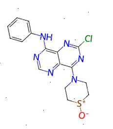 [O-][S+]1CCN(c2nc(Cl)nc3c(Nc4ccccc4)ncnc23)CC1